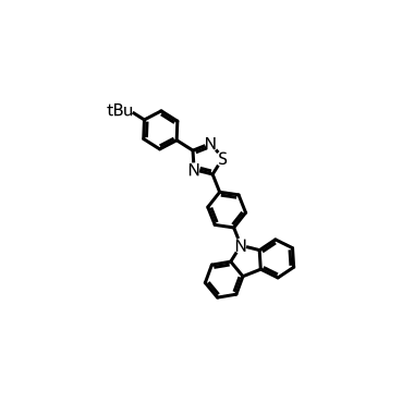 CC(C)(C)c1ccc(-c2nsc(-c3ccc(-n4c5ccccc5c5ccccc54)cc3)n2)cc1